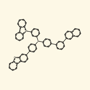 c1cc(-c2ccc(N(c3ccc(-c4ccc5c(c4)oc4ccccc45)cc3)c3cccc(-n4c5ccccc5c5ccccc54)c3)cc2)cc(-c2ccc3ccccc3c2)c1